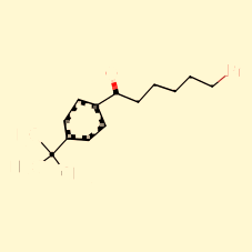 CC(C)(C)c1ccc(C(=O)CCCCCBr)cc1